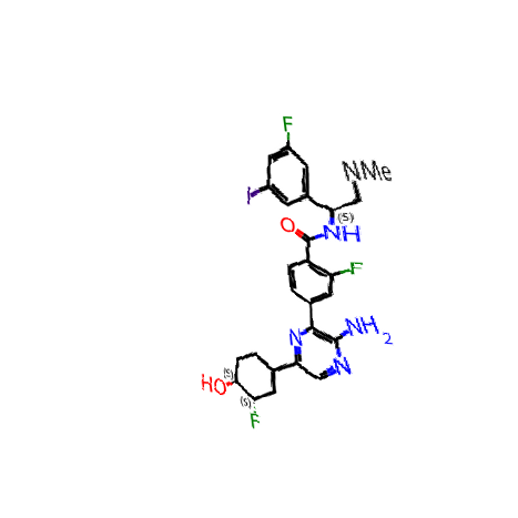 CNC[C@@H](NC(=O)c1ccc(-c2nc(C3CC[C@H](O)[C@@H](F)C3)cnc2N)cc1F)c1cc(F)cc(I)c1